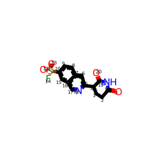 O=C1CCC(c2cc3ccc(S(=O)(=O)F)cc3cn2)C(=O)N1